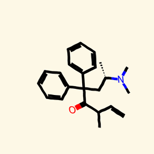 C=CC(C)C(=O)C(C[C@H](C)N(C)C)(c1ccccc1)c1ccccc1